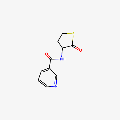 O=C(NC1CCSC1=O)c1cccnc1